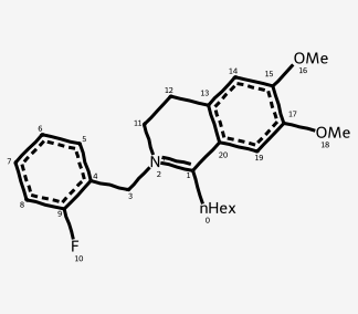 CCCCCCC1=[N+](Cc2ccccc2F)CCc2cc(OC)c(OC)cc21